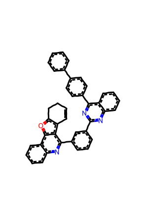 C1=Cc2c(oc3c2c(-c2cccc(-c4nc(-c5ccc(-c6ccccc6)cc5)c5ccccc5n4)c2)nc2ccccc23)CC1